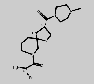 CC(C)[C@H](N)C(=O)N1CCCC2(C1)N[C@H](C(=O)N1CCN(C)CC1)CS2